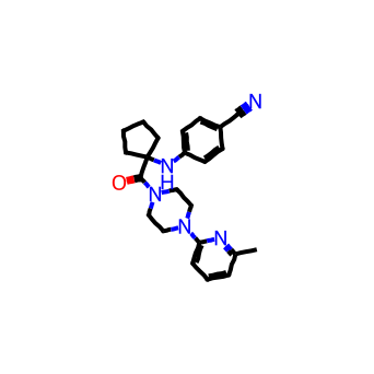 Cc1cccc(N2CCN(C(=O)C3(Nc4ccc(C#N)cc4)CCCC3)CC2)n1